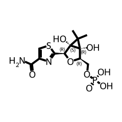 CC1(C)[C@]2(O)[C@H](c3nc(C(N)=O)cs3)O[C@H](COP(=O)(O)O)[C@]12O